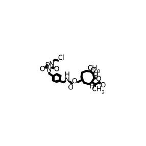 C=C1C(=O)O[C@H]2[C@H]1CC/C(COC(=O)NCc1ccc(Cn3c(=O)sn(CCCl)c3=O)cc1)=C\CC[C@@]1(C)O[C@@H]21